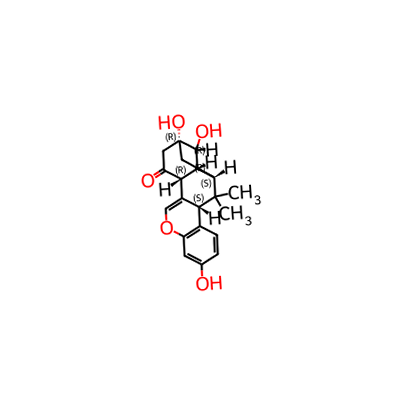 CC1(C)[C@H]2C(=COc3cc(O)ccc32)[C@@H]2C(=O)C[C@]3(O)C[C@H]1[C@H]2[C@H]3O